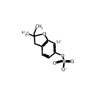 CC1(C)Cc2ccc(OS(=O)(=O)[O-])cc2O1.[Li+]